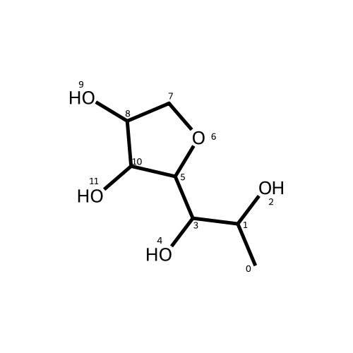 CC(O)C(O)C1OCC(O)C1O